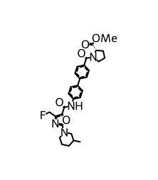 COC(=O)[C@@H]1CCCN1C(=O)c1ccc(-c2ccc(NC(=O)c3oc(N4CCCC(C)C4)nc3CF)cc2)cc1